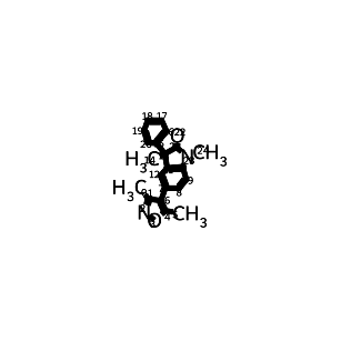 Cc1noc(C)c1-c1ccc2c(c1)C(C)(c1ccccc1)C(=O)N2C